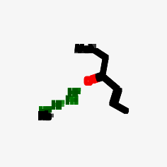 CC=CC(=O)CNC.F.F.F.F.[Nb]